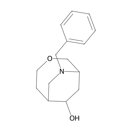 OC1CC2COCCC1CN2Cc1ccccc1